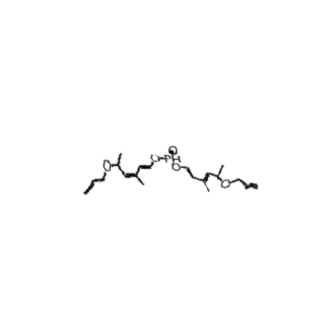 C=CCOC(C)C=C(C)C=CO[PH](=O)OC=CC(C)=CC(C)OCC=C